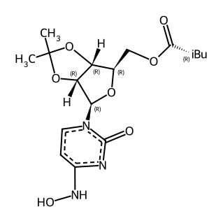 CC[C@@H](C)C(=O)OC[C@H]1O[C@@H](n2ccc(NO)nc2=O)[C@@H]2OC(C)(C)O[C@@H]21